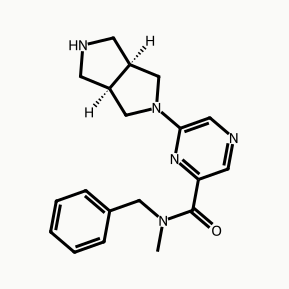 CN(Cc1ccccc1)C(=O)c1cncc(N2C[C@H]3CNC[C@H]3C2)n1